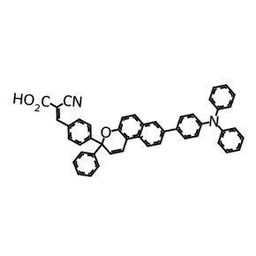 N#C/C(=C\c1ccc(C2(c3ccccc3)C=Cc3c(ccc4cc(-c5ccc(N(c6ccccc6)c6ccccc6)cc5)ccc34)O2)cc1)C(=O)O